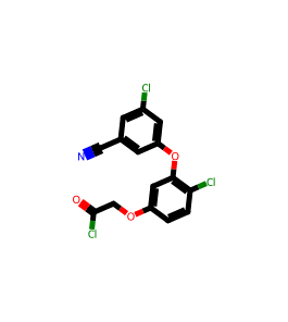 N#Cc1cc(Cl)cc(Oc2cc(OCC(=O)Cl)ccc2Cl)c1